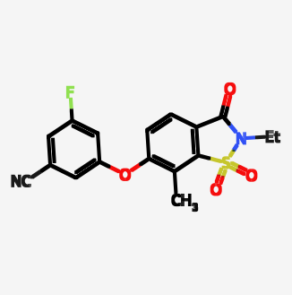 CCN1C(=O)c2ccc(Oc3cc(F)cc(C#N)c3)c(C)c2S1(=O)=O